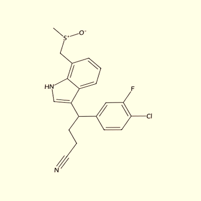 C[S+]([O-])Cc1cccc2c(C(CCC#N)c3ccc(Cl)c(F)c3)c[nH]c12